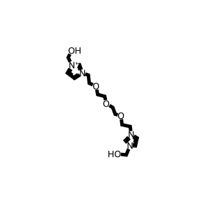 OC[n+]1ccn(CCOCCOCCOCCn2cc[n+](CO)c2)c1